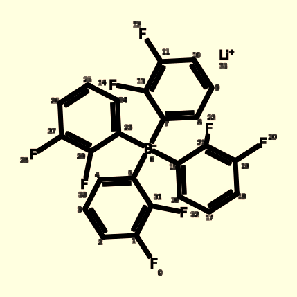 Fc1cccc([B-](c2cccc(F)c2F)(c2cccc(F)c2F)c2cccc(F)c2F)c1F.[Li+]